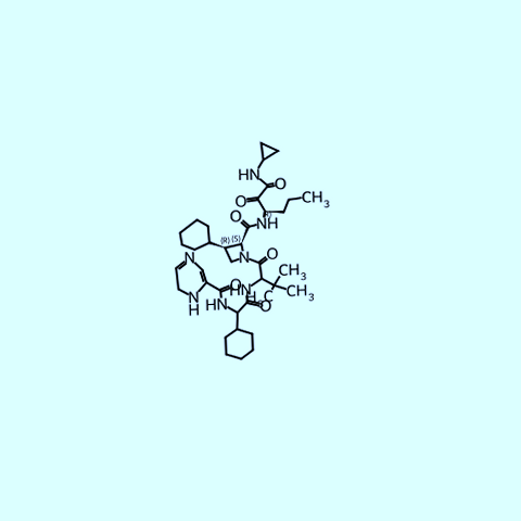 CCC[C@@H](NC(=O)[C@@H]1[C@H](C2CCCCC2)CN1C(=O)C(NC(=O)C(NC(=O)C1=CN=CCN1)C1CCCCC1)C(C)(C)C)C(=O)C(=O)NC1CC1